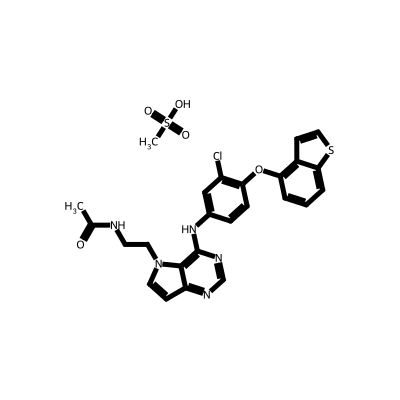 CC(=O)NCCn1ccc2ncnc(Nc3ccc(Oc4cccc5sccc45)c(Cl)c3)c21.CS(=O)(=O)O